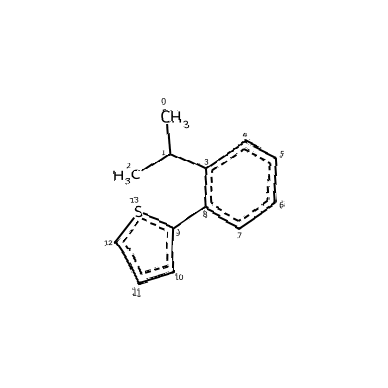 CC(C)c1ccccc1-c1cccs1